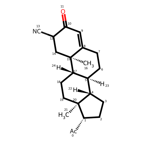 CC(=O)[C@H]1CC[C@H]2[C@@H]3CCC4=CC(=O)C(C#N)C[C@]4(C)[C@H]3CC[C@]12C